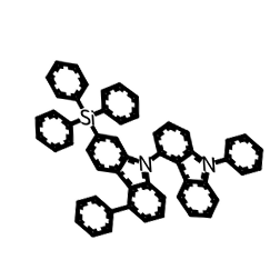 c1ccc(-c2cccc3c2c2ccc([Si](c4ccccc4)(c4ccccc4)c4ccccc4)cc2n3-c2cccc3c2c2ccccc2n3-c2ccccc2)cc1